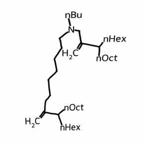 C=C(CCCCCCCN(CCCC)CC(=C)C(CCCCCC)CCCCCCCC)C(CCCCCC)CCCCCCCC